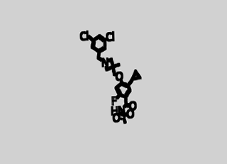 CC1(COc2cc(F)c(C(=O)NS(C)(=O)=O)cc2C2CC2)CN(Cc2cc(Cl)cc(Cl)c2)C1